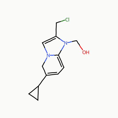 OCN1C(CCl)=CN2CC(C3CC3)=CC=C21